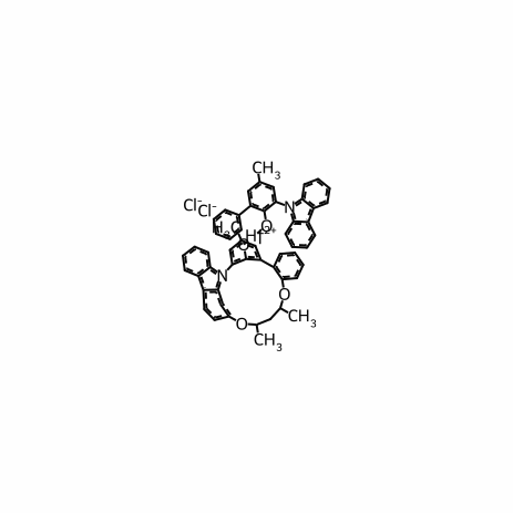 Cc1cc(-c2ccccc2)c([O][Hf+2][O]c2c3cc(C)cc2-n2c4ccccc4c4ccc(cc42)OC(C)CC(C)Oc2ccccc2-3)c(-n2c3ccccc3c3ccccc32)c1.[Cl-].[Cl-]